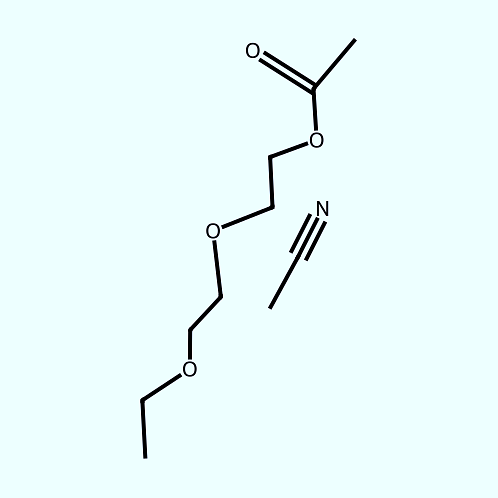 CC#N.CCOCCOCCOC(C)=O